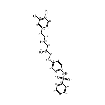 O=S(=O)(Nc1ccc(OCC(O)CNCCc2ccc(Cl)c(Cl)c2)cc1)c1ccccc1